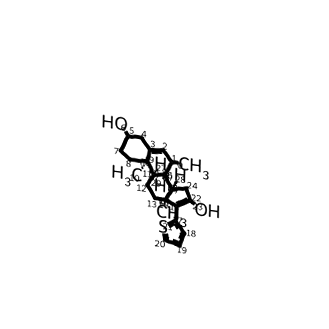 CC1C=C2CC(O)CC[C@]2(C)[C@@H]2CC[C@]3(C)C(c4cccs4)=C(O)C[C@H]3[C@H]12